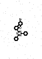 Brc1ccc2oc3c(-c4nc(-c5ccccc5)nc(-c5ccccc5)n4)cccc3c2c1